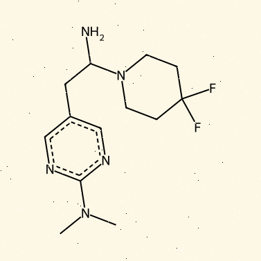 CN(C)c1ncc(CC(N)N2CCC(F)(F)CC2)cn1